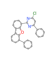 Clc1cc(-c2ccccc2)nc(-c2cccc3c2oc2c(-c4ccccc4)cccc23)n1